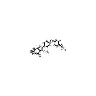 Cc1c(-c2ccc(Oc3ccc(OC(F)(F)F)cc3)cc2)sc2[nH]c(=O)[nH]c(=O)c12